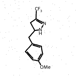 COc1ccc(CC2CC(C(F)(F)F)=NN2)cc1